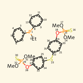 CCP(c1ccccc1)c1ccccc1.COP(=S)(OC)Oc1ccc(Sc2ccc(OP(=S)(OC)OC)cc2)cc1